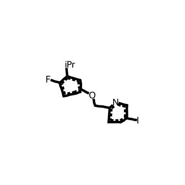 CC(C)c1cc(OCc2ccc(I)cn2)ccc1F